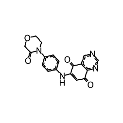 O=C1C(Nc2ccc(N3CCOCC3=O)cc2)=CC(=O)c2ncncc21